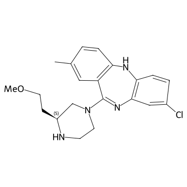 COCC[C@H]1CN(C2=Nc3cc(Cl)ccc3Nc3ccc(C)cc32)CCN1